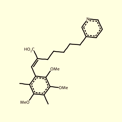 COc1c(C)c(C=C(CCCCCc2cccnc2)C(=O)O)c(OC)c(OC)c1C